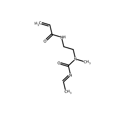 C=CC(=O)NCCN(C)C(=O)N=CC